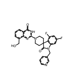 O=C1N(Cc2cccnc2)c2cc(F)cc(F)c2C12CCN(c1nc3c(CO)cccc3c(=O)[nH]1)CC2